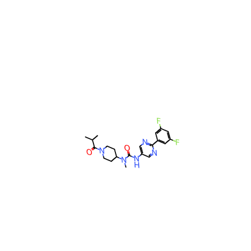 CC(C)C(=O)N1CCC(N(C)C(=O)Nc2cnc(-c3cc(F)cc(F)c3)nc2)CC1